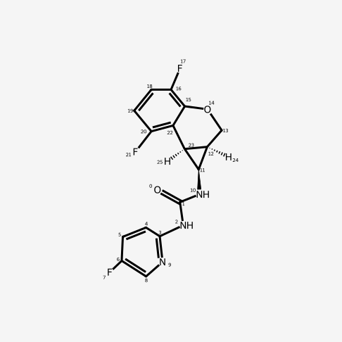 O=C(Nc1ccc(F)cn1)N[C@@H]1[C@@H]2COc3c(F)ccc(F)c3[C@@H]21